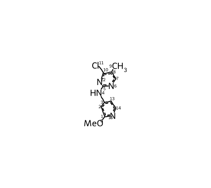 COc1cc(Nc2ncc(C)c(Cl)n2)ccn1